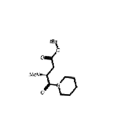 CN[C@@H](CC(=O)OC(C)(C)C)C(=O)N1CCCCC1